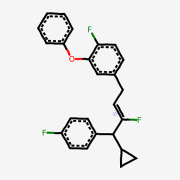 F/C(=C\Cc1ccc(F)c(Oc2ccccc2)c1)C(c1ccc(F)cc1)C1CC1